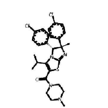 CC(C)C1=C(C(=O)N2CCN(C)CC2)SC2=N[C@@](C)(c3ccc(Cl)cc3)[C@@H](c3ccc(Cl)cc3)N21